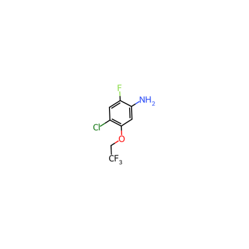 Nc1cc(OCC(F)(F)F)c(Cl)cc1F